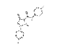 Cc1ccc([C@@H]2SC(=O)N(C(=O)NC3CCC(C)CC3)[C@H]2C)cc1